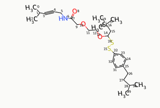 CC(C)C#CCNC(=O)COCCOC(C[Si](C)(C)C)SSc1ccc(CCC(C)C)cc1